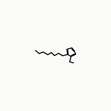 CCCCCCCCc1ccccc1CC